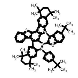 CC(C)(C)c1ccc(N2B3c4oc5ccc(C(C)(C)C)cc5c4-n4c5cc6c(cc5c5c7sc8ccccc8c7c(c3c54)-c3cc4c(cc32)C(C)(C)CCC4(C)C)C(C)(C)CCC6(C)C)cc1